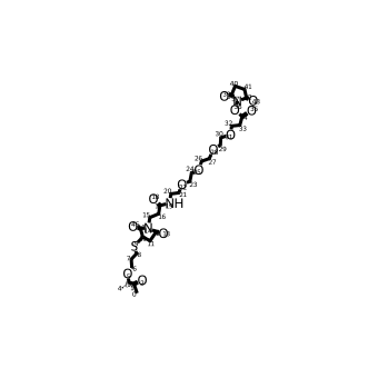 CC(=O)[C@H](C)OCCCSC1CC(=O)N(CCC(=O)NCCOCCOCCOCCOCCC(=O)ON2C(=O)CCC2=O)C1=O